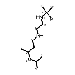 CC(C)OC(C)CCNCCNC(C)(C)C